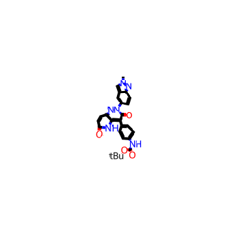 Cn1cc2cc(-n3nc4ccc(=O)[nH]c4c(-c4ccc(NC(=O)OC(C)(C)C)cc4)c3=O)ccc2n1